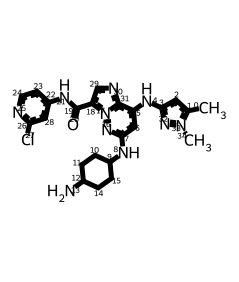 Cc1cc(Nc2cc(NC3CCC(N)CC3)nn3c(C(=O)Nc4ccnc(Cl)c4)cnc23)nn1C